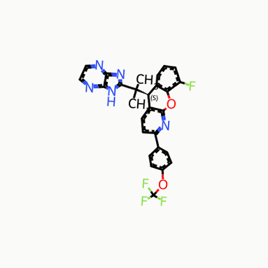 CC(C)(c1nc2nccnc2[nH]1)[C@@H]1c2ccc(-c3ccc(OC(F)(F)F)cc3)nc2Oc2c(F)cccc21